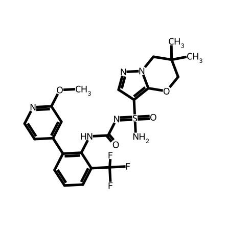 COc1cc(-c2cccc(C(F)(F)F)c2NC(=O)N=S(N)(=O)c2cnn3c2OCC(C)(C)C3)ccn1